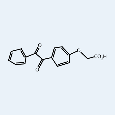 O=C(O)COc1ccc(C(=O)C(=O)c2ccccc2)cc1